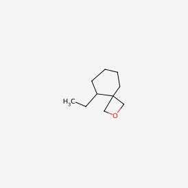 CCC1CCCCC12COC2